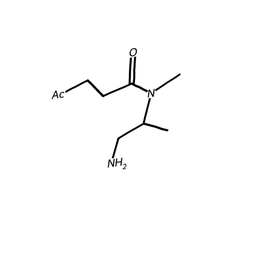 CC(=O)CCC(=O)N(C)C(C)CN